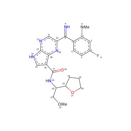 CNc1cc(F)ccc1C(=N)c1cnc2[nH]cc(C(=O)NC(COC)C3CCCO3)c2n1